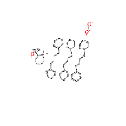 C(C=Cc1ccccc1)=Cc1ccccc1.C(C=Cc1ccccc1)=Cc1ccccc1.C(C=Cc1ccccc1)=Cc1ccccc1.CC1(C)CC=CC=[C]1[Ti+3].C[O-].C[O-].C[O-]